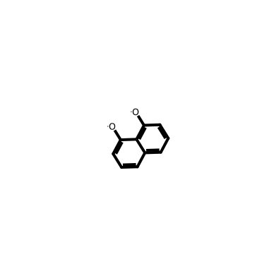 [O]c1cccc2cccc([O])c12